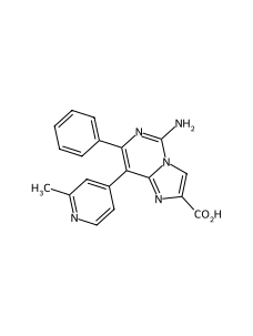 Cc1cc(-c2c(-c3ccccc3)nc(N)n3cc(C(=O)O)nc23)ccn1